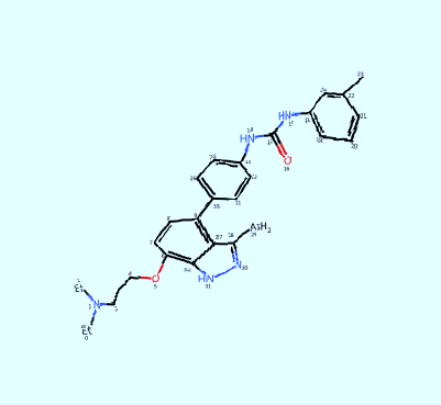 CCN(CC)CCOc1ccc(-c2ccc(NC(=O)Nc3cccc(C)c3)cc2)c2c([AsH2])n[nH]c12